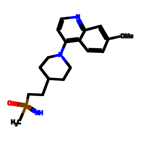 COc1ccc2c(N3CCC(CCS(C)(=N)=O)CC3)ccnc2c1